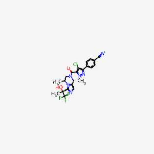 CC1CN(C(=O)c2c(Cl)c(-c3ccc(C#N)cc3)nn2C)Cc2cnc(C(C)(O)C(F)(F)F)n21